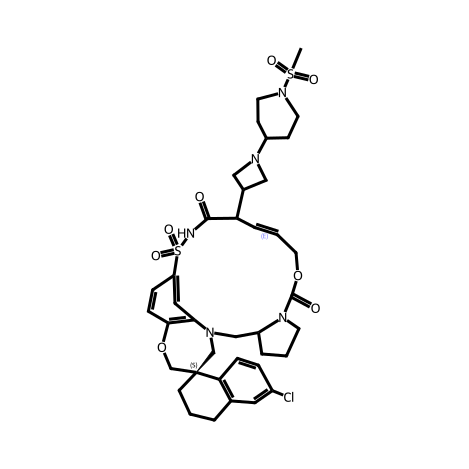 CS(=O)(=O)N1CCC(N2CC(C3/C=C/COC(=O)N4CCCC4CN4C[C@@]5(CCCc6cc(Cl)ccc65)COc5ccc(cc54)S(=O)(=O)NC3=O)C2)CC1